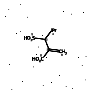 C=C(C(=O)O)C(C(C)C)S(=O)(=O)O